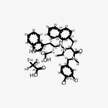 CCN(N[C@H](CC(=O)O)Cc1c[nH]c2ccccc12)[C@@H](Cc1ccc2ccccc2c1)C(=O)N(C)Cc1ccc(Cl)c(Cl)c1.O=C(O)C(F)(F)F